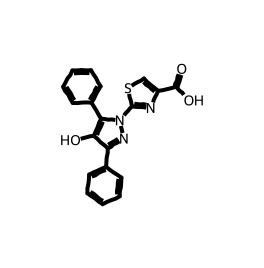 O=C(O)c1csc(-n2nc(-c3ccccc3)c(O)c2-c2ccccc2)n1